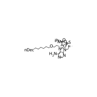 CCCCCCCCCCCCCCCCOCCC[C@@H](O[P@](=S)(OC)[C@H](C)Cn1cnc2c(N)ncnc21)C(=O)C(C)C